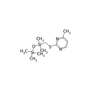 Cc1ccnc(SC[Si](C)(C)O[Si](C)(C)C)n1